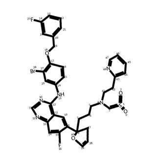 O=S(=O)=CN(CCCC1(c2cc3c(Nc4ccc(OCc5cccc(F)c5)c(Br)c4)ncnc3cc2F)CC=CO1)CCc1ccccn1